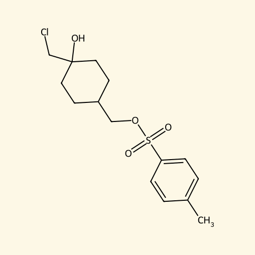 Cc1ccc(S(=O)(=O)OCC2CCC(O)(CCl)CC2)cc1